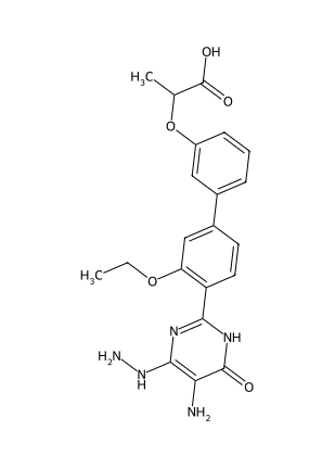 CCOc1cc(-c2cccc(OC(C)C(=O)O)c2)ccc1-c1nc(NN)c(N)c(=O)[nH]1